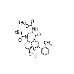 Cc1ccc2c(c1)N(CC(=O)c1ccccc1C)C(=O)C(NC(=O)OC(C)(C)C)CN2C(=O)C(C)(C)C